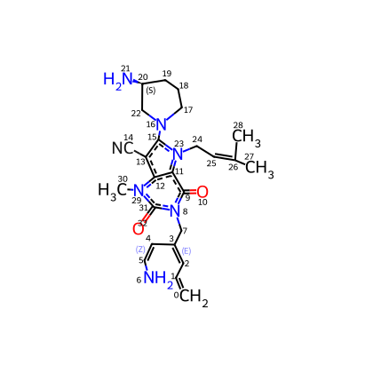 C=C/C=C(\C=C/N)Cn1c(=O)c2c(c(C#N)c(N3CCC[C@H](N)C3)n2CC=C(C)C)n(C)c1=O